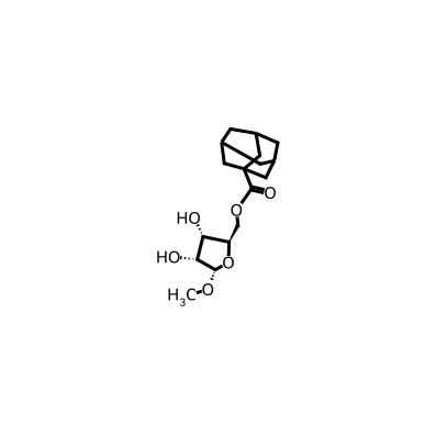 CO[C@H]1O[C@H](COC(=O)C23CC4CC(CC(C4)C2)C3)[C@@H](O)[C@H]1O